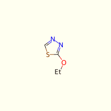 CCOc1nncs1